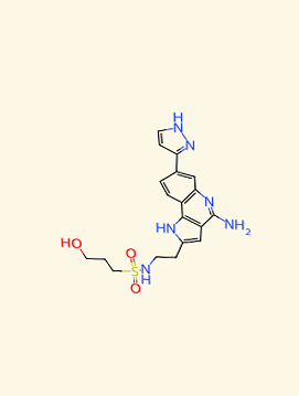 Nc1nc2cc(-c3cc[nH]n3)ccc2c2[nH]c(CCNS(=O)(=O)CCCO)cc12